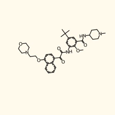 COc1c(NC(=O)C(=O)c2ccc(OCCN3CCOCC3)c3ccccc23)cc(C(C)(C)C)cc1C(=O)NC1CCN(C)CC1